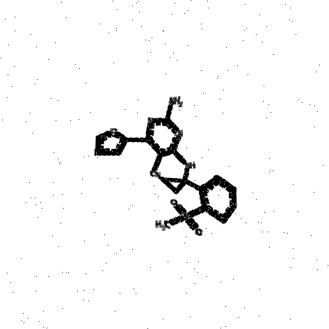 CS(=O)(=O)c1ccccc1C1(Nc2nc(N)nc(-c3ccco3)c2C#N)CC1